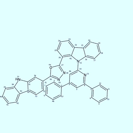 c1ccc(-c2cc(-c3ccccc3)nc(-n3c4ccccc4c4cccc(-c5nnc(-c6ccc7c(c6)[nH]c6ccccc67)o5)c43)c2)cc1